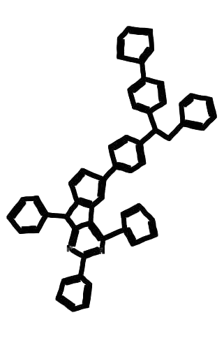 c1ccc(CC(c2ccc(-c3ccccc3)cc2)c2ccc(-c3ccc4c(c3)-c3c(-c5ccccc5)nc(-c5ccccc5)nc3C4c3ccccc3)cc2)cc1